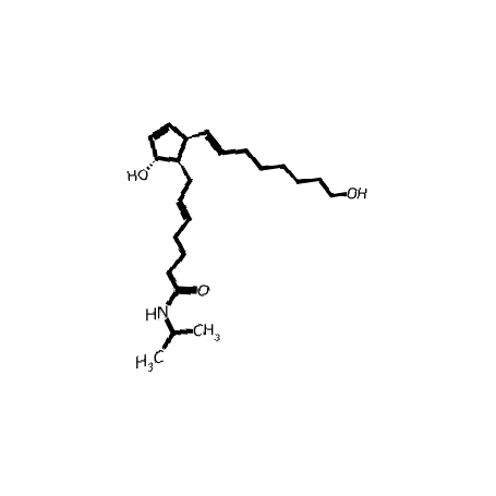 CC(C)NC(=O)CCCC=CC[C@@H]1[C@H](C=CCCCCCCO)C=C[C@H]1O